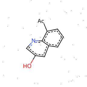 CC(=O)c1cccc2cc(O)cnc12